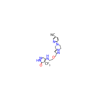 C[C@@H](COCc1cc2n(n1)CCN(c1ccc(C#N)cn1)C2)Nc1cn[nH]c(=O)c1C(F)(F)F